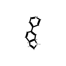 [c]1cc(-c2ccncc2)cc2occc12